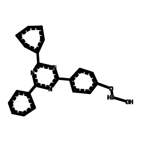 OBOc1ccc(-c2nc(-c3ccccc3)nc(-c3ccccc3)n2)cc1